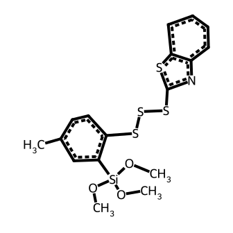 CO[Si](OC)(OC)c1cc(C)ccc1SSSc1nc2ccccc2s1